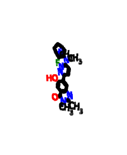 Cc1nc2cc(-c3ccc(N(C)[C@@H]4CC5CCC([C@@H]4F)N5C)nn3)c(O)cc2c(=O)n1C